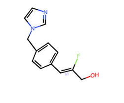 OC/C(F)=C/c1ccc(Cn2ccnc2)cc1